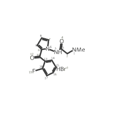 Br.CNCC(=O)Nn1cccc1C(=O)c1ccccc1F